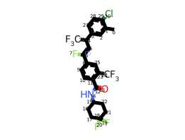 Cc1cc(C(/C=C(\F)c2ccc(C(=O)NC3CCC(F)(F)CC3)c(C(F)(F)F)c2)C(F)(F)F)ccc1Cl